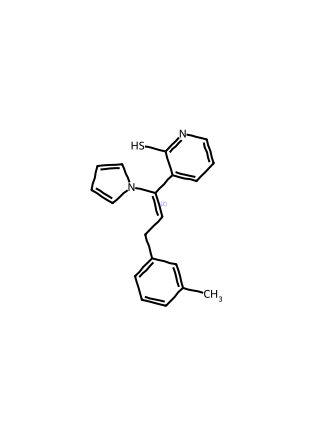 Cc1cccc(C/C=C(/c2cccnc2S)n2cccc2)c1